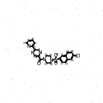 O=C(c1ncc(-c2ccccn2)nn1)N1CCN(S(=O)(=O)c2ccc3cc(Cl)ccc3c2)CC1